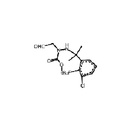 CC(C)(C)OC(=O)N(CC=O)NC(C)(C)c1cccc(Cl)c1F